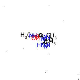 CNC[C@@H](O)COc1cccc(-c2nc(-c3c[nH]c4ncncc34)c(C)c(N(C)C3CCCCC3)n2)c1